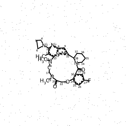 Cc1c(N2CCC2)nc2cc3nn2c1N(C)CCN(C)C(=O)COc1ccc(F)cc1C(=O)N1CCCCC31